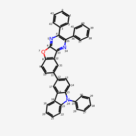 c1ccc(-c2nc3oc4ccc(-c5ccc6c(c5)c5ccccc5n6-c5ccccc5)cc4c3nc2-c2ccccc2)cc1